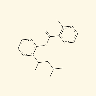 CC(C)CC(C)c1ccccc1NC(=O)c1ccccc1Br